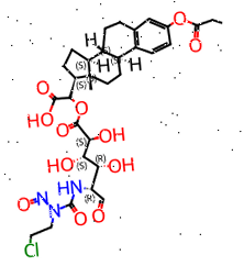 CCC(=O)Oc1ccc2c(c1)CC[C@@H]1[C@@H]2CC[C@]2(C)[C@@H](C(OC(=O)[C@@H](O)[C@@H](O)[C@H](O)[C@H](C=O)NC(=O)N(CCCl)N=O)C(=O)O)CC[C@@H]12